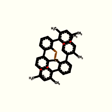 Cc1ccc(-c2cccc(-c3ccc(C)cc3C)c2SSc2c(-c3ccc(C)cc3C)cccc2-c2ccc(C)cc2C)c(C)c1